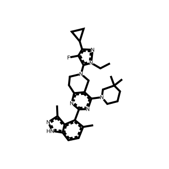 CCn1nc(C2CC2)c(F)c1N1CCc2nc(-c3c(C)ccc4[nH]nc(C)c34)nc(N3CCCC(C)(C)C3)c2C1